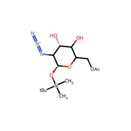 CC(=O)OCC1O[C@@H](O[Si](C)(C)C(C)(C)C)C(N=[N+]=[N-])[C@H](O)C1O